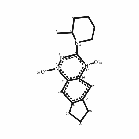 CC1CCCCN1c1n[n+]([O-])c2cc3c(cc2[n+]1[O-])CCC3